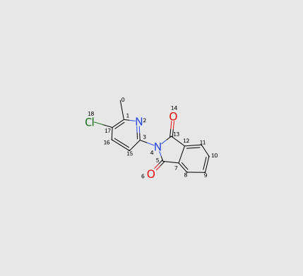 Cc1nc(N2C(=O)c3ccccc3C2=O)ccc1Cl